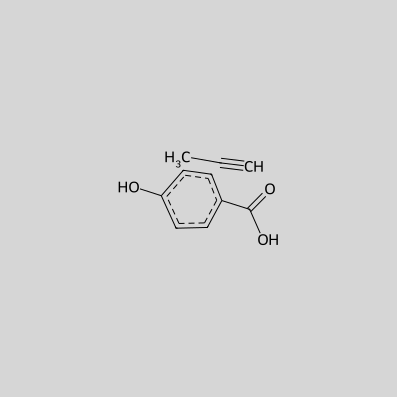 C#CC.O=C(O)c1ccc(O)cc1